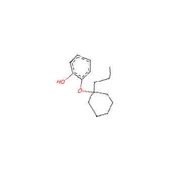 CCCC1(Oc2ccccc2O)CCCCC1